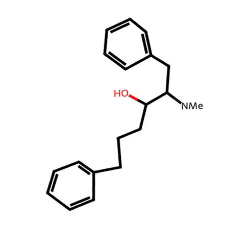 CNC(Cc1ccccc1)C(O)CCCc1ccccc1